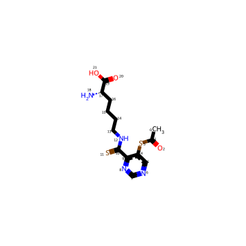 CC(=O)Sc1cncnc1C(=S)NCCCC[C@H](N)C(=O)O